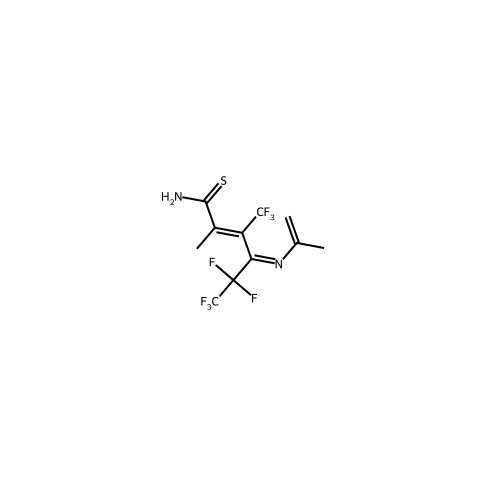 C=C(C)/N=C(\C(=C(/C)C(N)=S)C(F)(F)F)C(F)(F)C(F)(F)F